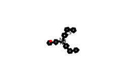 c1ccc(-c2ccc(-c3nc(-c4ccc(-c5cccc(-c6ccccc6)c5)cc4)nc(-c4ccc(-c5cccc6c5sc5ccccc56)cc4)n3)cc2)cc1